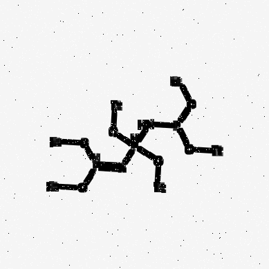 CCOP(N[PH](N=[PH](OCC)OCC)(OCC)OCC)OCC